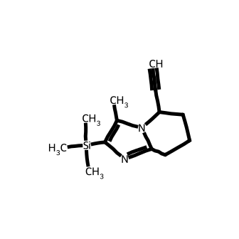 C#CC1CCCc2nc([Si](C)(C)C)c(C)n21